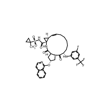 CC1(S(=O)(=O)NC(=O)[C@@]23C[C@H]2/C=C\CCCCC[C@H](Nc2cc(F)cc(C(F)(F)F)c2)C(=O)N2C[C@H](Oc4nccc5ccccc45)C[C@H]2C(=O)N3)CC1